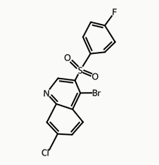 O=S(=O)(c1ccc(F)cc1)c1cnc2cc(Cl)ccc2c1Br